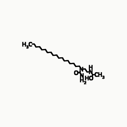 CCCCCCCCCCCCCCCCCCN(CCNC(C)O)C(N)=O